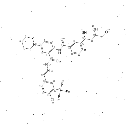 O=C(Nc1ccc(N2CCCCC2)cc1C(=O)NN=Cc1ccc(Cl)c(C(F)(F)F)c1)c1cccc(C(S)CC(O)CO)c1